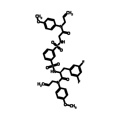 C=CCN(C(=O)CNS(=O)(=O)c1cccc(S(=O)(=O)N[C@@H](Cc2cc(F)cc(F)c2)C(=O)N(CC=C)c2ccc(OC)cc2)c1)c1ccc(OC)cc1